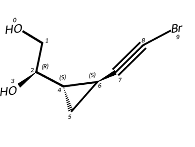 OC[C@H](O)[C@H]1C[C@@H]1C#CBr